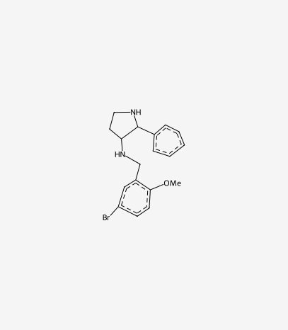 COc1ccc(Br)cc1CNC1CCNC1c1ccccc1